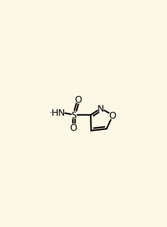 [NH]S(=O)(=O)c1ccon1